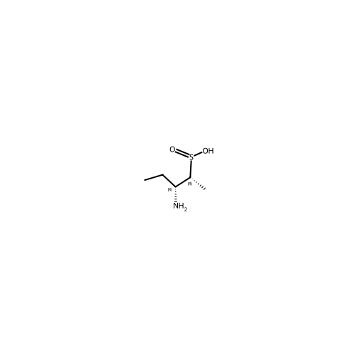 CC[C@@H](N)[C@@H](C)S(=O)O